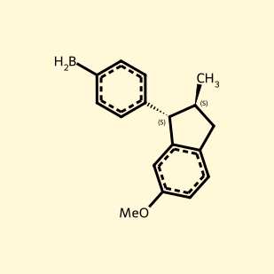 Bc1ccc([C@H]2c3cc(OC)ccc3C[C@@H]2C)cc1